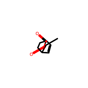 O=C1OC(=O)C2C=CC1CC2